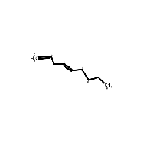 C=[C]CC=CCCCC